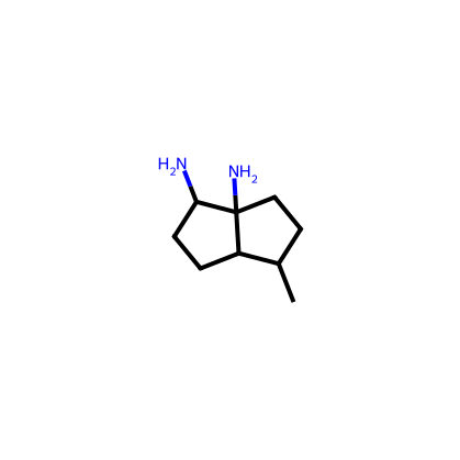 CC1CCC2(N)C(N)CCC12